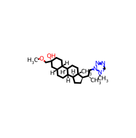 COC[C@@]1(O)CC[C@H]2[C@H](CC[C@@H]3[C@@H]2CC[C@]2(C)[C@@H]([C@@H](C)Cn4nnc[n+]4C)CC[C@@H]32)C1